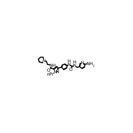 CCCn1nc(-c2ccc(NC(=O)NCc3ccc(N)nc3)cc2)cc1C(=O)NCCN1CCCCC1